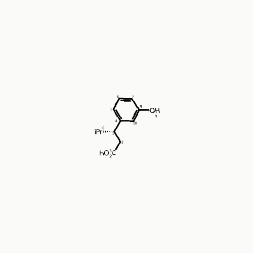 CC(C)[C@@H](CC(=O)O)c1cccc(O)c1